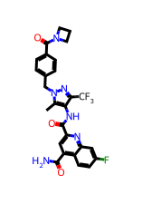 Cc1c(NC(=O)c2cc(C(N)=O)c3ccc(F)cc3n2)c(C(F)(F)F)nn1Cc1ccc(C(=O)N2CCC2)cc1